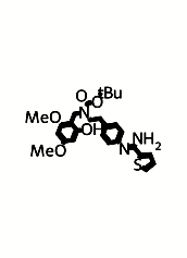 COc1cc(O)c(CN(CCc2ccc(/N=C(\N)c3cccs3)cc2)C(=O)OC(C)(C)C)c(OC)c1